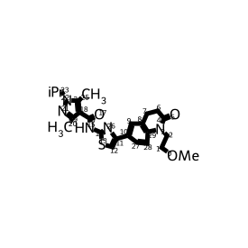 COCCN1C(=O)CCc2cc(-c3csc(NC(=O)c4c(C)nn(C(C)C)c4C)n3)ccc21